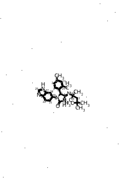 Cc1ccc(C2C(=NC(C)(C)CC(C)(C)C)NC(=O)N2c2ccc3nc[nH]c3c2)c(C)c1